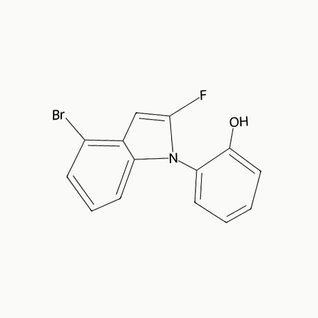 Oc1ccccc1-n1c(F)cc2c(Br)cccc21